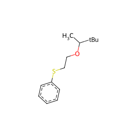 CC(OCCSc1ccccc1)C(C)(C)C